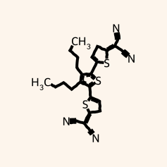 CCCCc1c(C2=CCC(=C(C#N)C#N)S2)sc(C2=CCC(=C(C#N)C#N)S2)c1CCCC